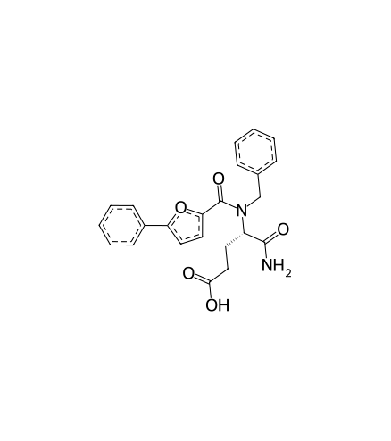 NC(=O)[C@H](CCC(=O)O)N(Cc1ccccc1)C(=O)c1ccc(-c2ccccc2)o1